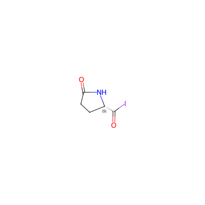 O=C1CC[C@@H](C(=O)I)N1